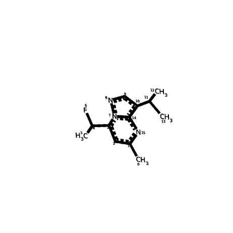 Cc1cc(C(C)F)n2ncc(C(C)C)c2n1